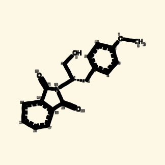 COc1ccc(C[C@@H](CO)N2C(=O)c3ccccc3C2=O)cc1